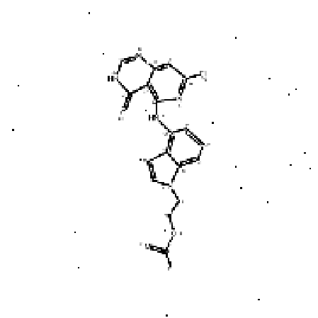 CC(=O)OCCn1ccc2c(Nc3nc(Cl)cc4nc[nH]c(=O)c34)cccc21